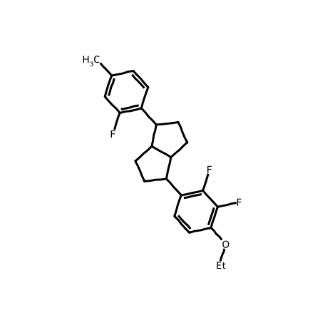 CCOc1ccc(C2CCC3C(c4ccc(C)cc4F)CCC23)c(F)c1F